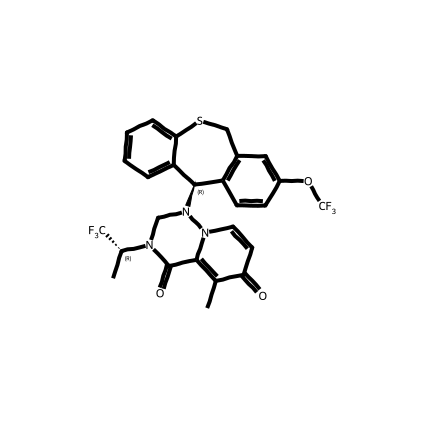 Cc1c2n(ccc1=O)N([C@@H]1c3ccc(OC(F)(F)F)cc3CSc3ccccc31)CN([C@H](C)C(F)(F)F)C2=O